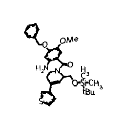 COc1cc(C(=O)N2CCC(c3ccsc3)=CC2CO[Si](C)(C)C(C)(C)C)c(N)cc1OCc1ccccc1